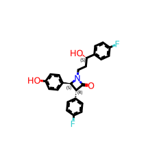 O=C1[C@H](c2ccc(F)cc2)[C@@H](c2ccc(O)cc2)N1CC[C@H](O)c1ccc(F)cc1